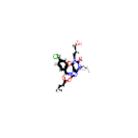 CCCC(=O)Oc1nc2c(c(=O)n(CCCO)c(=O)n2C)n1Cc1ccc(Cl)cc1